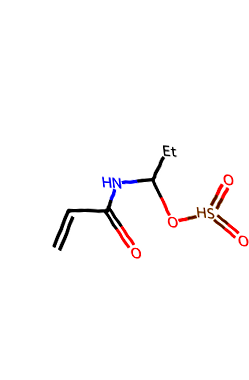 C=CC(=O)NC(CC)O[SH](=O)=O